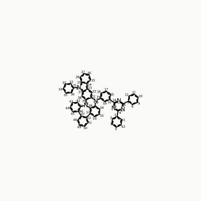 c1ccc(-c2nc(-c3ccccc3)nc(-c3cccc(N4c5cc6c7ccccc7n(-c7ccccc7)c6cc5N5c6ccccc6-c6ccccc6-c6cccc4c65)c3)n2)cc1